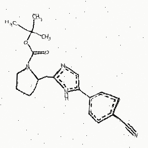 CC(C)(C)OC(=O)N1CCCC1c1ncc(-c2ccc(C#N)cc2)[nH]1